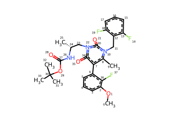 COc1cccc(-c2c(C)n(Cc3c(F)cccc3F)c(=O)n(C[C@@H](C)NC(=O)OC(C)(C)C)c2=O)c1F